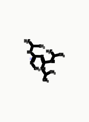 C/N=C(\N=C(NC(C)C)NC(C)C)NC(C)C